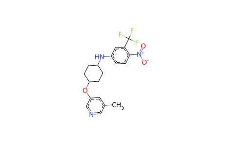 Cc1cncc(OC2CCC(Nc3ccc([N+](=O)[O-])c(C(F)(F)F)c3)CC2)c1